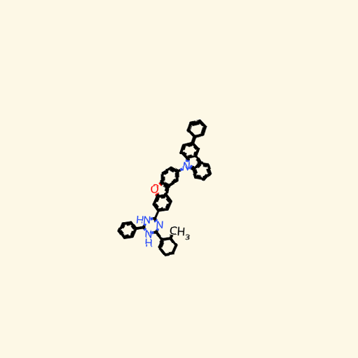 CC1CCCC=C1C1N=C(c2ccc3c(c2)oc2ccc(-n4c5ccccc5c5cc(C6C=CC=CC6)ccc54)cc23)NC(c2ccccc2)N1